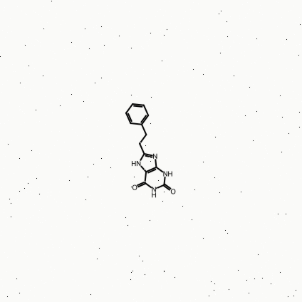 O=c1[nH]c(=O)c2[nH]c(CCc3ccccc3)nc2[nH]1